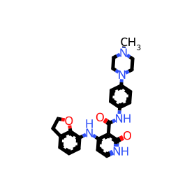 CN1CCN(c2ccc(NC(=O)c3c(Nc4cccc5c4OCC5)cc[nH]c3=O)cc2)CC1